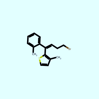 Cc1ccccc1C(=CCCBr)c1sccc1C